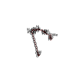 COc1cc2c(cc1OCCCC(=O)Nc1cc(C(=O)Nc3ccc(-c4cc(C(=O)Nc5ccc(NC(=O)[C@H](C)NC(=O)[C@@H](NC(=O)CCOCCOCCOCCOCCOCCOCCOCCOCCNC(=O)CCN6C(=O)C=CC6=O)C(C)C)cc5)n(C)c4)cc3)n(C)c1)N=C[C@@H]1CCCCN1C2=O